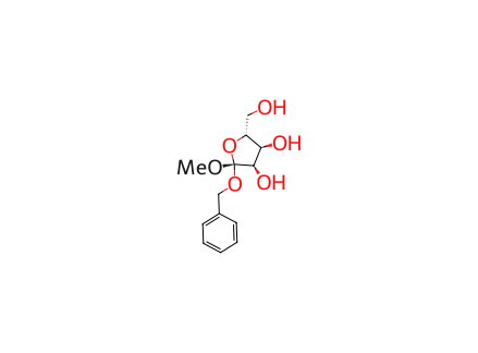 CO[C@@]1(OCc2ccccc2)O[C@H](CO)[C@@H](O)[C@H]1O